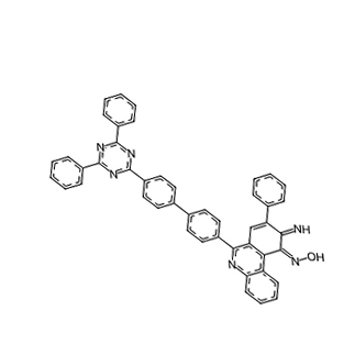 N=C1C(c2ccccc2)=Cc2c(-c3ccc(-c4ccc(-c5nc(-c6ccccc6)nc(-c6ccccc6)n5)cc4)cc3)nc3ccccc3c2/C1=N/O